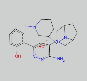 CN1CCC[C@@](O)(CN2C3CCC2CN(c2cc(-c4ccccc4O)nnc2N)C3)C1